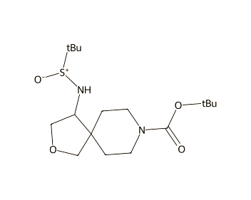 CC(C)(C)OC(=O)N1CCC2(CC1)COCC2N[S+]([O-])C(C)(C)C